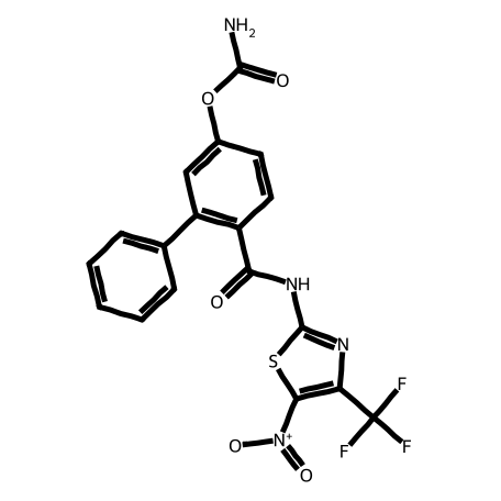 NC(=O)Oc1ccc(C(=O)Nc2nc(C(F)(F)F)c([N+](=O)[O-])s2)c(-c2ccccc2)c1